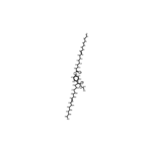 CCCCCCCCC=CCCCCCCCC(=O)Oc1ccc(C(CCCCCCC=CCCCCCCCC)C(=O)OCC)cc1